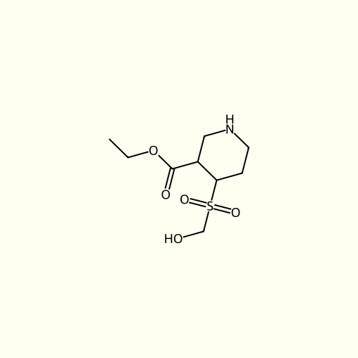 CCOC(=O)C1CNCCC1S(=O)(=O)CO